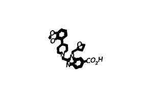 O=C(O)c1ccc2nc(CN3CCC(c4cccc5c4OCO5)CC3)n(CC3CCO3)c2c1